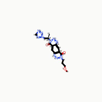 COCCCn1nnc2cc3c(=O)n([C@H](C)Cn4ncnn4)nnc3cc2c1=O